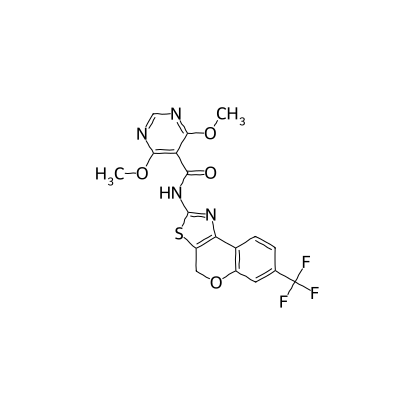 COc1ncnc(OC)c1C(=O)Nc1nc2c(s1)COc1cc(C(F)(F)F)ccc1-2